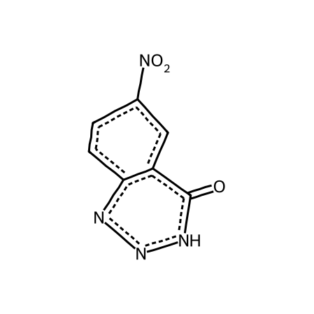 O=c1[nH]nnc2ccc([N+](=O)[O-])cc12